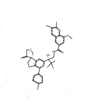 COc1cc(C(=O)NC[C@](O)(c2cc3c(c(-c4ccc(F)cc4)n2)OC[C@@]3(CF)C(N)=O)C(F)(F)F)cc2cc(Cl)c(C)nc12